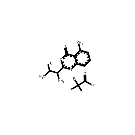 Cc1cccc2nc(C(N)C(C)C)oc(=O)c12.O=C(O)C(F)(F)F